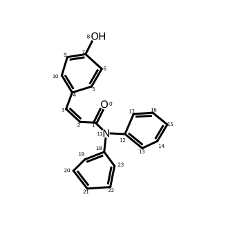 O=C(/C=C\c1ccc(O)cc1)N(c1ccccc1)c1ccccc1